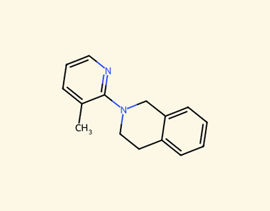 Cc1cccnc1N1CCc2ccccc2C1